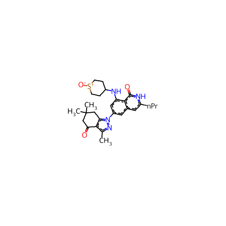 CCCc1cc2cc(-n3nc(C)c4c3CC(C)(C)CC4=O)cc(NC3CC[S+]([O-])CC3)c2c(=O)[nH]1